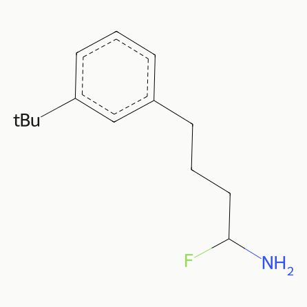 CC(C)(C)c1cccc(CCCC(N)F)c1